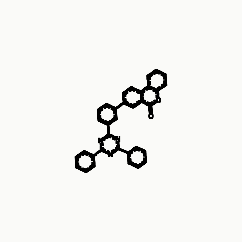 O=c1oc2ccccc2c2ccc(-c3cccc(-c4nc(-c5ccccc5)nc(-c5ccccc5)n4)c3)cc12